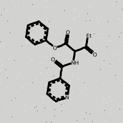 CCC(=O)C(NC(=O)c1cccnc1)C(=O)Oc1ccccc1